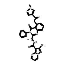 C[C@H](NC(=O)c1c(N)nn2cccnc12)c1nc2cccc(CC(=O)c3cnn(C)c3)c2c(=O)n1-c1ccccc1